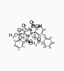 CC(c1ccccc1)N1[C@@H](C(C)(C)C)C(=O)N(C(=O)O)[C@]1(c1c(Cl)cccc1Cl)[C@@H](O)CCc1ccccc1